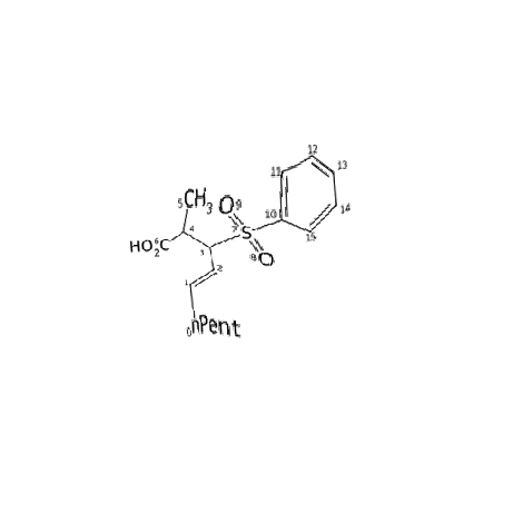 CCCCCC=CC(C(C)C(=O)O)S(=O)(=O)c1ccccc1